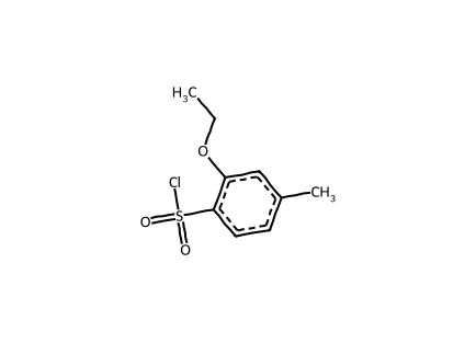 CCOc1cc(C)ccc1S(=O)(=O)Cl